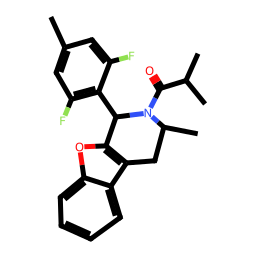 Cc1cc(F)c(C2c3oc4ccccc4c3CC(C)N2C(=O)C(C)C)c(F)c1